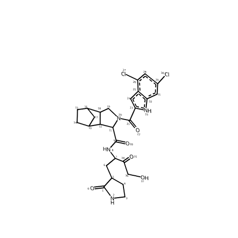 O=C1NCCC1CC(NC(=O)C1C2C3CCC(C3)C2CN1C(=O)c1cc2c(Cl)cc(Cl)cc2[nH]1)C(=O)CO